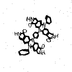 O=C1NCc2cc3c(cc21)B(c1ccc(B2c4cc5c(cc4N(c4ccccc4)c4cc6c(cc42)C(=O)NC6)CNC5=O)cc1)c1cc2c(cc1N3c1ccccc1)CNC2=O